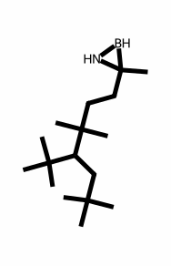 CC(C)(C)CC(C(C)(C)C)C(C)(C)CCC1(C)BN1